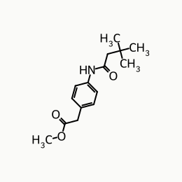 COC(=O)Cc1ccc(NC(=O)CC(C)(C)C)cc1